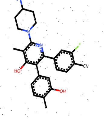 Cc1ccc(-c2c(-c3ccc(C#N)c(F)c3)nc(N3CCC(N)CC3)c(C)c2O)cc1O